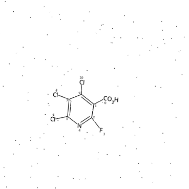 O=C(O)c1c(F)nc(Cl)c(Cl)c1Cl